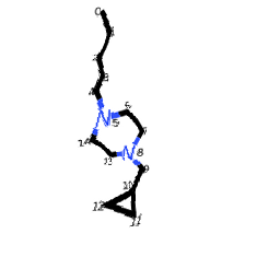 CCCCCN1CCN(CC2CC2)CC1